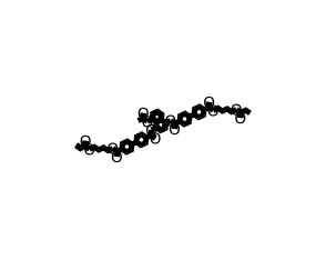 C=CC(=O)OCCCCOC(=O)C1CCC(C2CCC(C(=O)Oc3ccc(OC(=O)C4CCC(C5CCC(C(=O)OCCCCOC(=O)CC)CC5)CC4)c4cccc(OC(C)=O)c34)CC2)CC1